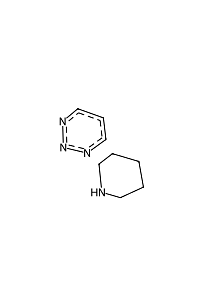 C1CCNCC1.c1cnnnc1